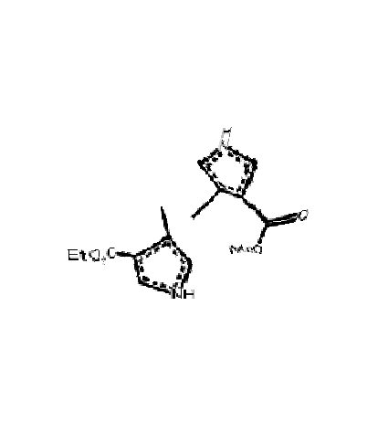 CCOC(=O)c1c[nH]cc1C.COC(=O)c1c[nH]cc1C